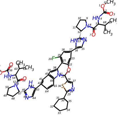 COC(=O)NC(C(=O)N1CCC[C@H]1c1ncc(-c2cc(F)c3c(c2)OC(c2cnc(C4CCCCC4)s2)n2c-3cc3cc(-c4cnc([C@@H]5CCCN5C(=O)C(NC(=O)OC)C(C)C)[nH]4)ccc32)[nH]1)C(C)C